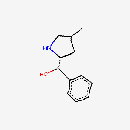 CC1CN[C@@H](C(O)c2ccccc2)C1